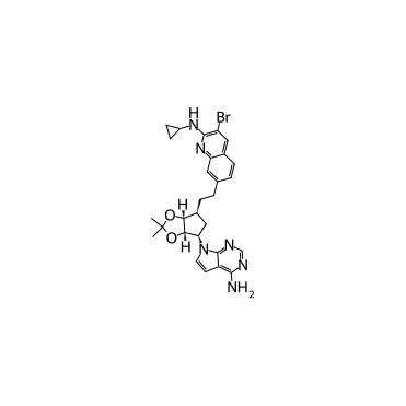 CC1(C)O[C@@H]2[C@@H](CCc3ccc4cc(Br)c(NC5CC5)nc4c3)C[C@@H](n3ccc4c(N)ncnc43)[C@@H]2O1